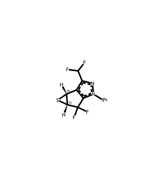 CC(C)n1nc(C(F)F)c2c1C(F)(F)[C@@H]1S[C@H]21